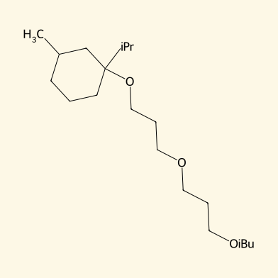 CC(C)COCCCOCCCOC1(C(C)C)CCCC(C)C1